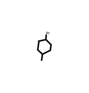 CC1C[C]C(C(C)C)CC1